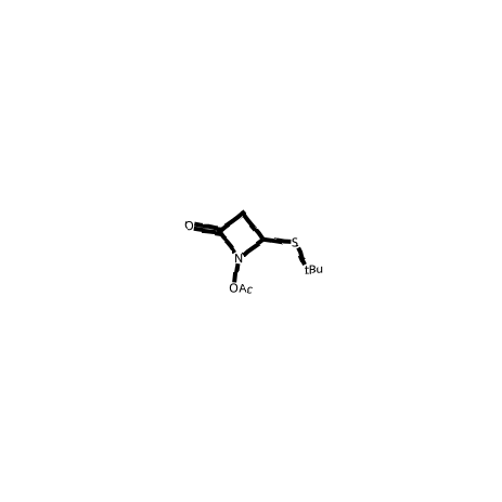 CC(=O)ON1C(=O)CC1SC(C)(C)C